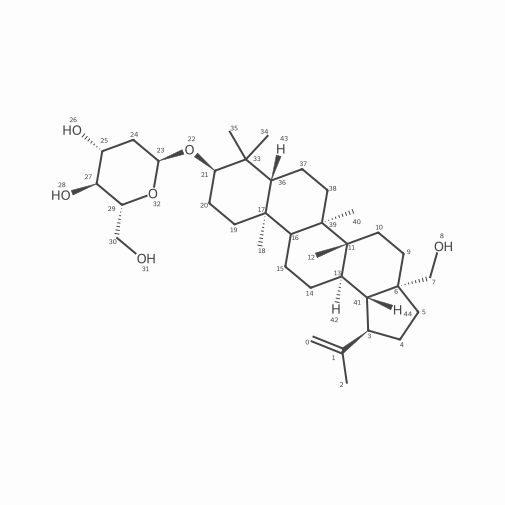 C=C(C)[C@@H]1CC[C@]2(CO)CC[C@]3(C)[C@H](CCC4[C@@]5(C)CC[C@@H](O[C@@H]6C[C@@H](O)[C@H](O)[C@@H](CO)O6)C(C)(C)[C@@H]5CC[C@]43C)[C@@H]12